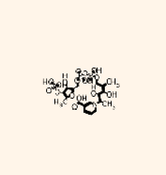 CC(COP(=O)(O)OP(=O)(O)OC[C@H]1O[C@@H](C)[C@H](OP(=O)(O)O)[C@@H]1O)[C@@H](O)[C@@H](O)C(C)N1C=C(C(=O)O)C=CC1